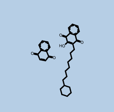 O=C1C(O)=C(CCCCCCCCC2CCCCC2)C(=O)c2ccccc21.O=C1C=CC(=O)c2ccccc21